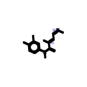 C=C(/C(C)=C/C=N\C)N(C)c1ccc(C)c(C)c1